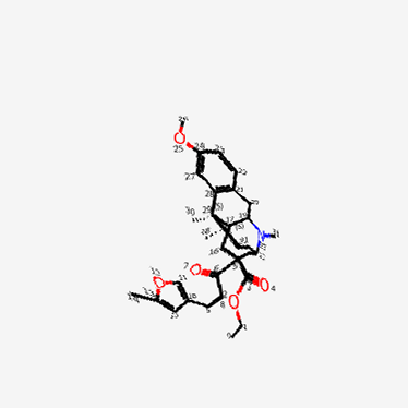 CCOC(=O)C1(C(=O)CCc2coc(C)c2)C[C@]2(C)C3Cc4ccc(OC)cc4[C@]2(C)CC1N3C